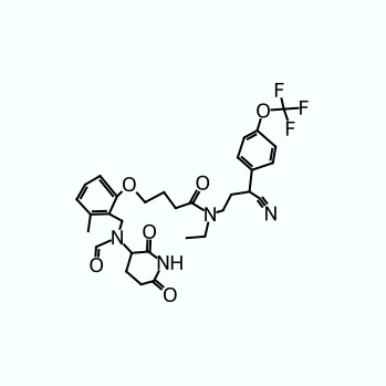 CCN(CCC(C#N)c1ccc(OC(F)(F)F)cc1)C(=O)CCCOc1cccc(C)c1CN(C=O)C1CCC(=O)NC1=O